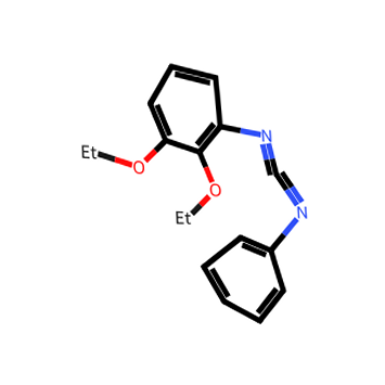 CCOc1cccc(N=C=Nc2ccccc2)c1OCC